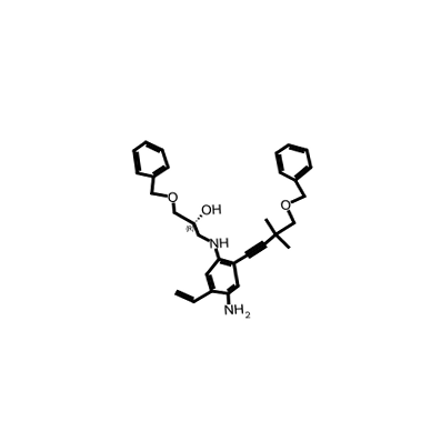 C=Cc1cc(NC[C@@H](O)COCc2ccccc2)c(C#CC(C)(C)COCc2ccccc2)cc1N